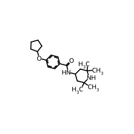 CC1(C)CC(NC(=O)c2ccc(OC3CCCC3)cc2)CC(C)(C)N1